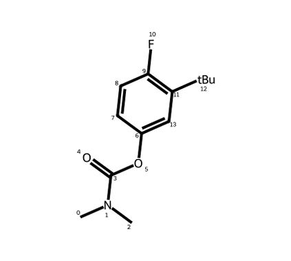 CN(C)C(=O)Oc1ccc(F)c(C(C)(C)C)c1